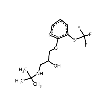 CC(C)(C)NCC(O)COc1ncccc1SC(F)(F)F